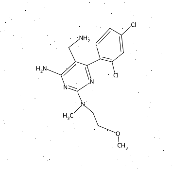 COCCN(C)c1nc(N)c(CN)c(-c2ccc(Cl)cc2Cl)n1